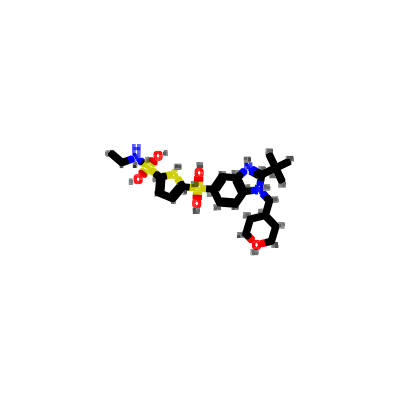 CCNS(=O)(=O)c1ccc(S(=O)(=O)c2ccc3c(c2)nc(C(C)(C)C)n3CC2CCOCC2)s1